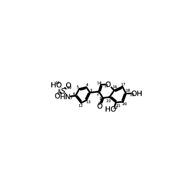 O=c1c(-c2ccc(NS(=O)(=O)O)cc2)coc2cc(O)cc(O)c12